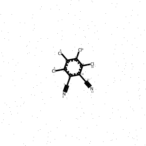 N#Cc1c(Cl)c(Cl)c(Cl)c(Cl)c1C#N